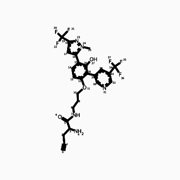 C#CCC(N)C(=O)NCCCOc1ccc(-c2cc(C(F)(F)F)nn2C)c(O)c1-c1cncc(C(F)(F)F)c1